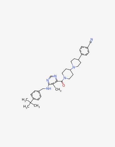 Cc1c(NCc2ccc(C(C)(C)C)cc2)ncnc1C(=O)N1CCC(N2CCC(c3ccc(C#N)cc3)CC2)CC1